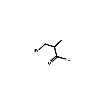 CC(C)CC(C)C(=O)N=O